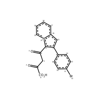 O=C(O)C(=O)CC(=O)c1c(-c2ccc(Br)cc2)cc2ccccn12